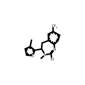 CCC1=Nc2ccc(C(F)(F)F)cc2CC(c2sccc2C)N1C